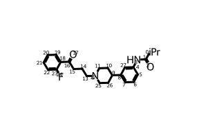 CC(C)C(=O)Nc1cccc(C2CCN(CCCC(=O)c3ccccc3F)CC2)c1